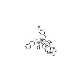 C[C@](CCCN)(C(=O)Nc1ccc2ccccc2c1)N(OC(=O)C(F)(F)F)C(=O)[C@@H](N)Cc1ccc(F)cc1